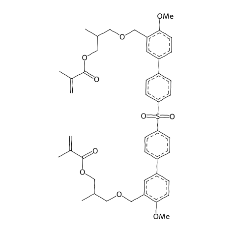 C=C(C)C(=O)OCC(C)COCc1cc(-c2ccc(S(=O)(=O)c3ccc(-c4ccc(OC)c(COCC(C)COC(=O)C(=C)C)c4)cc3)cc2)ccc1OC